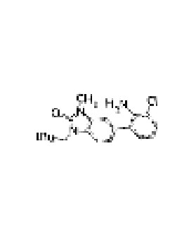 Cn1c(=O)n(CC(C)(C)C)c2ccc(-c3cccc(Cl)c3N)cc21